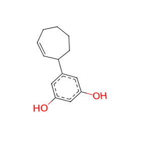 Oc1cc(O)cc(C2C=CCCCC2)c1